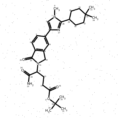 Cn1cc(-c2ccc3c(c2)CN(C(CCC(=O)OC(C)(C)C)C(N)=O)C3=O)nc1C1CCC(C)(C)CC1